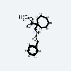 COC(=O)C1(/C=N/OCc2ccccc2)CCCCCC1